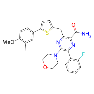 COc1ccc(-c2ccc(Cc3nc(N4CCOCC4)c(-c4ccccc4F)nc3C(N)=O)s2)cc1C